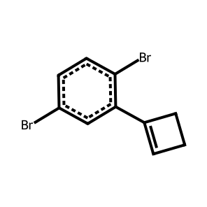 Brc1ccc(Br)c(C2=CCC2)c1